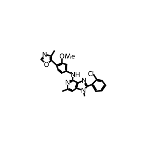 COc1cc(Nc2nc(C)cc3c2nc(-c2ccccc2Cl)n3C)ccc1-c1ocnc1C